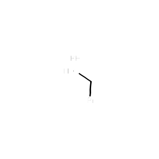 B.CCBr